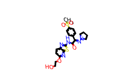 CS(=O)(=O)c1ccc(/C(=N\N2CCCC2)C(=O)Nc2nc3ccc(OCCO)nc3s2)cc1